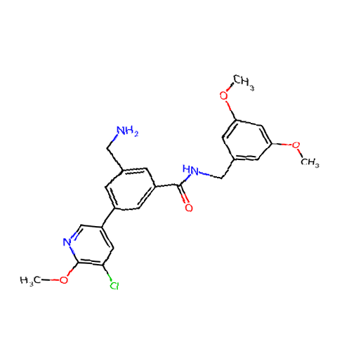 COc1cc(CNC(=O)c2cc(CN)cc(-c3cnc(OC)c(Cl)c3)c2)cc(OC)c1